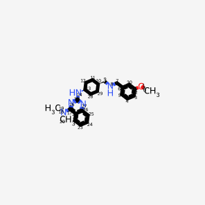 COc1cccc(CNC[C@H]2CC[C@@H](Nc3nc(N(C)C)c4ccccc4n3)CC2)c1